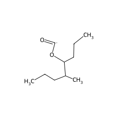 CCCC(C)C(CCC)O[C]=O